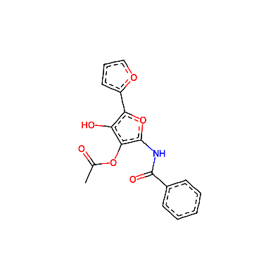 CC(=O)Oc1c(NC(=O)c2ccccc2)oc(-c2ccco2)c1O